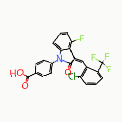 O=C(O)c1ccc(N2C(=O)/C(=C\c3c(Cl)cccc3C(F)(F)F)c3c(F)cccc32)cc1